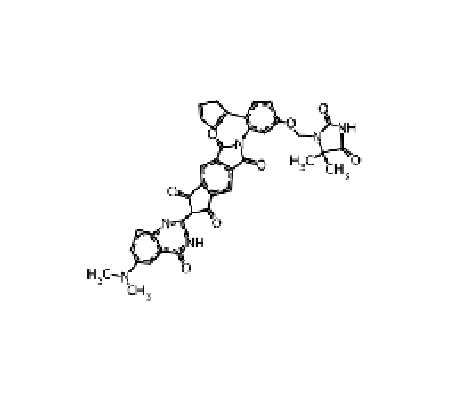 CN(C)c1ccc2nc(C3C(=O)c4cc5c(cc4C3=O)C(=O)N(c3cc(OCN4C(=O)NC(=O)C4(C)C)ccc3C3=CC=CC3)C5=O)[nH]c(=O)c2c1